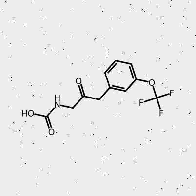 O=C(CNC(=O)O)Cc1cccc(OC(F)(F)F)c1